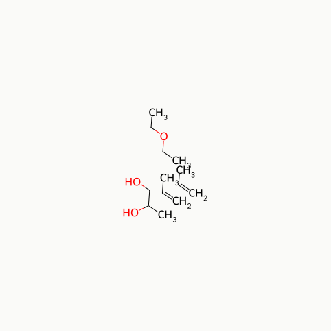 C=CC.C=CC.CC(O)CO.CCOCC